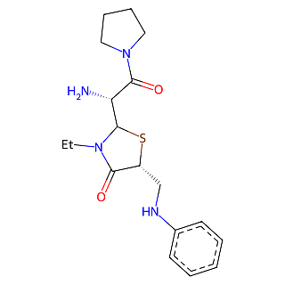 CCN1C(=O)[C@@H](CNc2ccccc2)SC1[C@H](N)C(=O)N1CCCC1